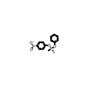 CP(=S)(Oc1ccccc1)Oc1ccc([N+](=O)[O-])cc1